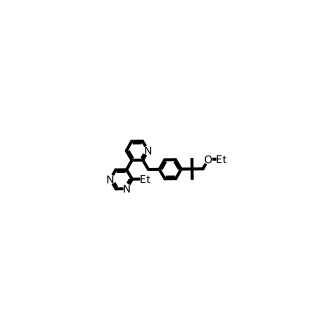 CCOCC(C)(C)c1ccc(Cc2ncccc2-c2cncnc2CC)cc1